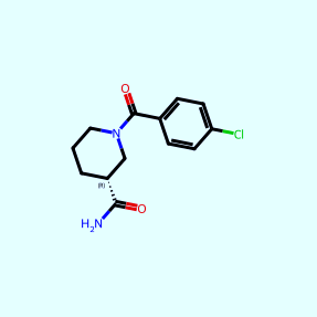 NC(=O)[C@@H]1CCCN(C(=O)c2ccc(Cl)cc2)C1